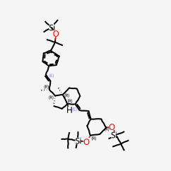 C[C@H](/C=C/c1ccc(C(C)(C)O[Si](C)(C)C)cc1)[C@H]1CC[C@H]2/C(=C/C=C3C[C@@H](O[Si](C)(C)C(C)(C)C)C[C@H](O[Si](C)(C)C(C)(C)C)C3)CCC[C@]12C